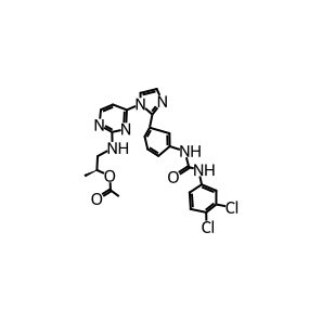 CC(=O)O[C@@H](C)CNc1nccc(-n2ccnc2-c2cccc(NC(=O)Nc3ccc(Cl)c(Cl)c3)c2)n1